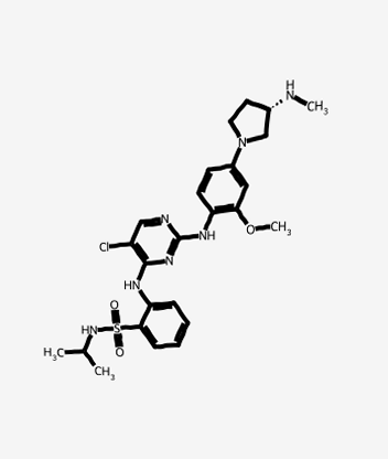 CN[C@H]1CCN(c2ccc(Nc3ncc(Cl)c(Nc4ccccc4S(=O)(=O)NC(C)C)n3)c(OC)c2)C1